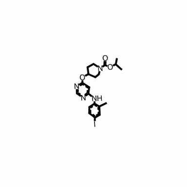 Cc1cc(I)ccc1Nc1cc(OC2CCN(C(=O)OC(C)C)CC2)ncn1